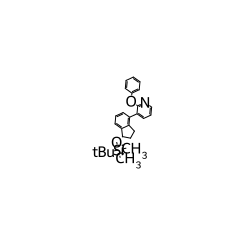 CC(C)(C)[Si](C)(C)O[C@H]1CCc2c(-c3cccnc3Oc3ccccc3)cccc21